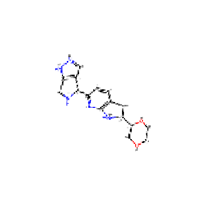 c1cc2c(nc1C1NCc3[nH]ncc31)NC(C1COCCO1)C2